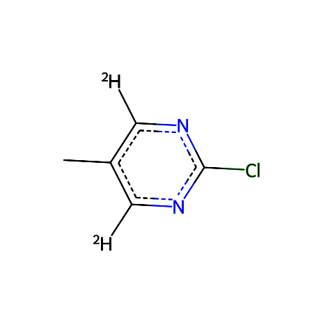 [2H]c1nc(Cl)nc([2H])c1C